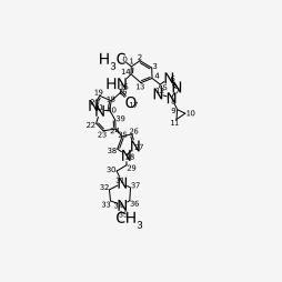 Cc1ccc(-c2nnn(C3CC3)n2)cc1NC(=O)c1cnn2ccc(-c3cnn(CCN4CCN(C)CC4)c3)cc12